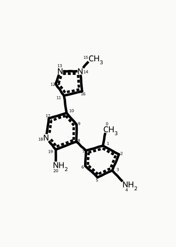 Cc1cc(N)ccc1-c1cc(-c2cnn(C)c2)cnc1N